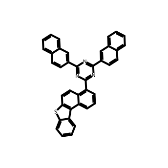 c1ccc2cc(-c3nc(-c4ccc5ccccc5c4)nc(-c4cccc5c4ccc4sc6ccccc6c45)n3)ccc2c1